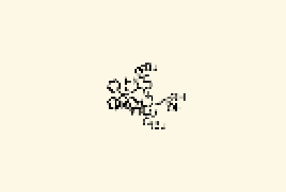 CC(C)(C)OC(=O)NC(CSC(c1ccccc1)(c1ccccc1)c1ccccc1)C(=O)N1C[C@@H](CCB(O)O)C[C@](NC(=O)OC(C)(C)C)(C(=O)O)C1